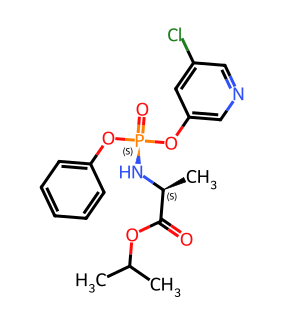 CC(C)OC(=O)[C@H](C)N[P@](=O)(Oc1ccccc1)Oc1cncc(Cl)c1